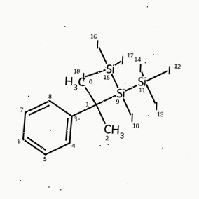 CC(C)(c1ccccc1)[Si](I)([Si](I)(I)I)[Si](I)(I)I